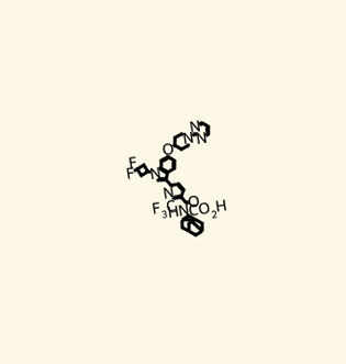 O=C(NC1(C(=O)O)C2CC3CC(C2)CC1C3)c1ccc(-c2cn(C3CC(F)(F)C3)c3cc(OC4CCN(c5ncccn5)CC4)ccc23)nc1C(F)(F)F